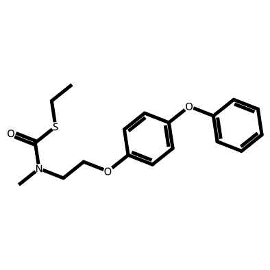 CCSC(=O)N(C)CCOc1ccc(Oc2ccccc2)cc1